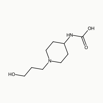 O=C(O)NC1CCN(CCCO)CC1